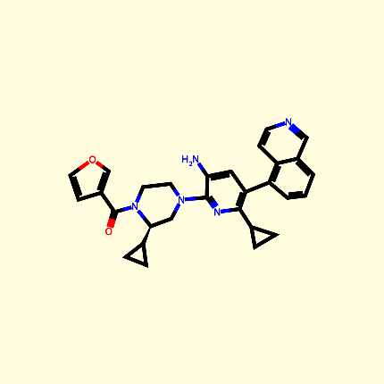 Nc1cc(-c2cccc3cnccc23)c(C2CC2)nc1N1CCN(C(=O)c2ccoc2)[C@H](C2CC2)C1